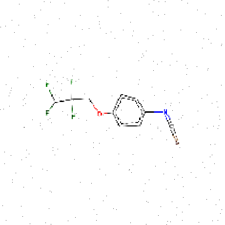 FC(F)C(F)(F)COc1ccc(N=C=S)cc1